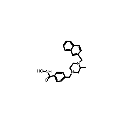 CC1CN(Cc2ccc(C(=O)NO)cc2)CCN1Cc1ccc2ccccc2c1